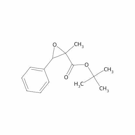 CC(C)(C)OC(=O)C1(C)OC1c1ccccc1